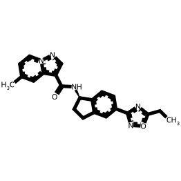 CCc1nc(-c2ccc3c(c2)CC[C@H]3NC(=O)c2cnn3ccc(C)cc23)no1